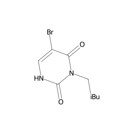 CCC(C)Cn1c(=O)[nH]cc(Br)c1=O